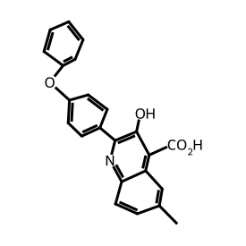 Cc1ccc2nc(-c3ccc(Oc4ccccc4)cc3)c(O)c(C(=O)O)c2c1